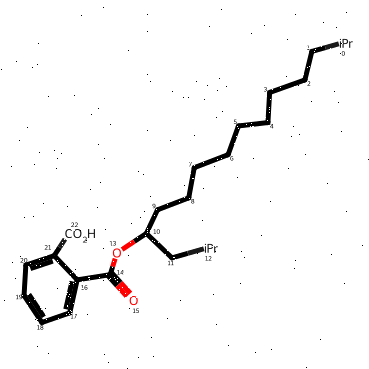 CC(C)CCCCCCCCCC(CC(C)C)OC(=O)c1ccccc1C(=O)O